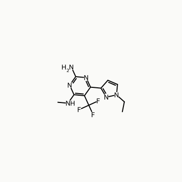 CCn1ccc(-c2nc(N)nc(NC)c2C(F)(F)F)n1